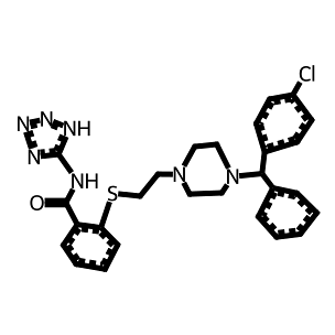 O=C(Nc1nnn[nH]1)c1ccccc1SCCN1CCN(C(c2ccccc2)c2ccc(Cl)cc2)CC1